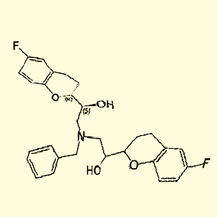 OC(CN(Cc1ccccc1)C[C@H](O)[C@H]1CCc2cc(F)ccc2O1)C1CCc2cc(F)ccc2O1